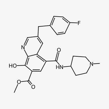 COC(=O)c1cc(C(=O)NC2CCN(C)CC2)c2cc(Cc3ccc(F)cc3)cnc2c1O